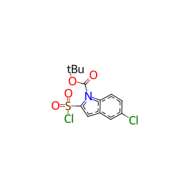 CC(C)(C)OC(=O)n1c(S(=O)(=O)Cl)cc2cc(Cl)ccc21